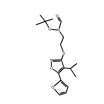 CC(C)c1c(OCCN(C=O)OC(C)(C)C)noc1-c1ccco1